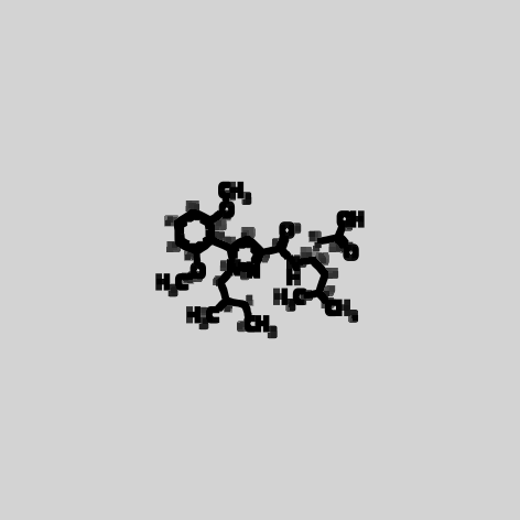 CCC(C)Cn1nc(C(=O)N[C@H](CC(=O)O)CC(C)C)cc1-c1c(OC)cccc1OC